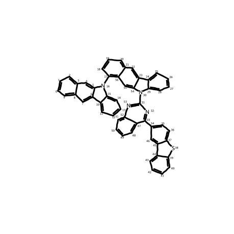 c1ccc2cc3c(cc2c1)c1ccccc1n3-c1cccc2cc3c4ccccc4n(-c4nc(-c5ccc6sc7ccccc7c6c5)c5ccccc5n4)c3cc12